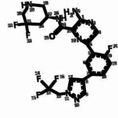 Nc1ncc(-c2cc(-c3cnn(CC(F)(F)F)c3)ccc2F)nc1C(=O)N[C@@H]1CNCC(F)(F)C1